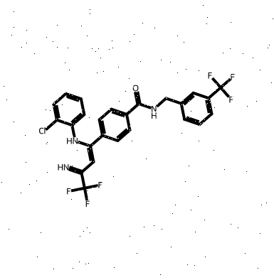 N=C(/C=C(\Nc1ccccc1Cl)c1ccc(C(=O)NCc2cccc(C(F)(F)F)c2)cc1)C(F)(F)F